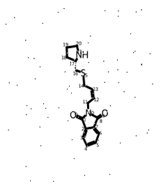 O=C1c2ccccc2C(=O)N1C/C=C\CSC[C@@H]1CCCN1